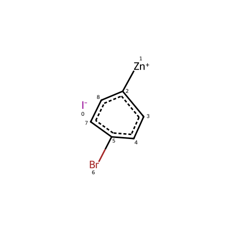 [I-].[Zn+][c]1ccc(Br)cc1